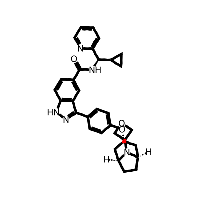 O=C(N[C@@H](c1ccccn1)C1CC1)c1ccc2[nH]nc(-c3ccc(O[C@@H]4C[C@H]5CC[C@@H](C4)N5C4COC4)cc3)c2c1